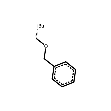 CC[C@@H](C)COCc1ccccc1